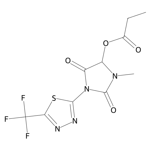 CCC(=O)OC1C(=O)N(c2nnc(C(F)(F)F)s2)C(=O)N1C